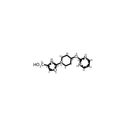 O=C(O)c1coc(N2CCC(Oc3ncccn3)CC2)n1